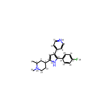 CC1CC(c2cc(-c3ccncc3)c(-c3ccc(F)cc3)[nH]2)CCN1C